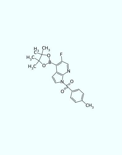 Cc1ccc(S(=O)(=O)n2ccc3c(B4OC(C)(C)C(C)(C)O4)c(F)cnc32)cc1